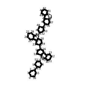 c1ccc(-c2ccc(-n3c4ccccc4c4cc(-c5ccc6c(c5)c5ccccc5n6-c5ccc(-c6ccc7oc8ccccc8c7c6)cc5)ccc43)cc2)cc1